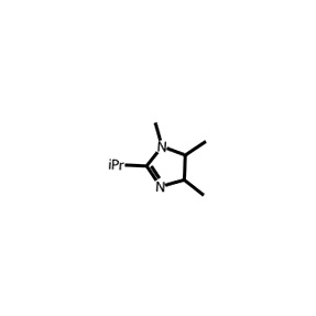 CC(C)C1=NC(C)C(C)N1C